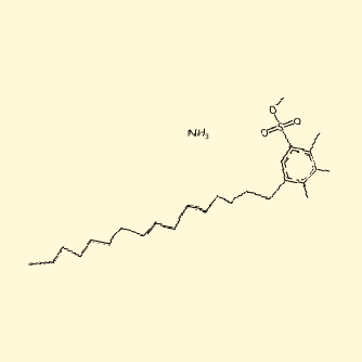 CCCCCCCCCCCCCCCCc1cc(S(=O)(=O)OC)c(C)c(C)c1C.N